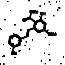 COC(=O)c1c(O)cc(OC)cc1C=Cc1cccc(O)c1